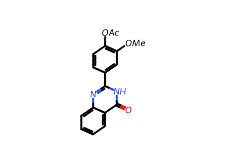 COc1cc(-c2nc3ccccc3c(=O)[nH]2)ccc1OC(C)=O